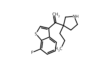 C=C(c1csc2c(F)cccc12)C1(CCC)CCNC1